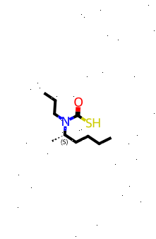 CCCC[C@H](C)N(CCC)C(=O)S